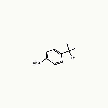 CCC(C)(C)c1ccc(NC(C)=O)cc1